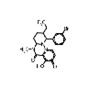 CN1C(=O)c2c(O)c(=O)ccn2N2C(c3cccc(Br)c3)C(CC(F)(F)F)CCC12